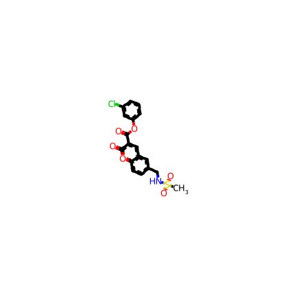 CS(=O)(=O)NCc1ccc2oc(=O)c(C(=O)Oc3cccc(Cl)c3)cc2c1